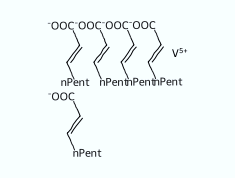 CCCCCC=CC(=O)[O-].CCCCCC=CC(=O)[O-].CCCCCC=CC(=O)[O-].CCCCCC=CC(=O)[O-].CCCCCC=CC(=O)[O-].[V+5]